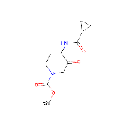 CC(C)(C)OC(=O)N1CCC(NC(=O)C2CC2)C(=O)C1